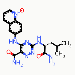 CC(C)C[C@@H](Nc1nnc(C(N)=O)c(Nc2ccc3c(ccc[n+]3[O-])c2)n1)C(N)=O